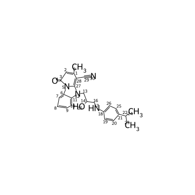 Cc1cc(=O)n2c3ccccc3n(CC(O)CNc3ccc(C(C)C)cc3)c2c1C#N